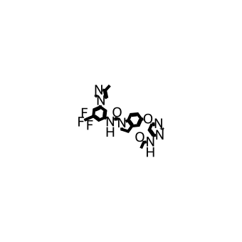 CC(=O)Nc1cc(Oc2ccc3c(c2)CCN3C(=O)Nc2cc(-n3cnc(C)c3)cc(C(F)(F)F)c2)ncn1